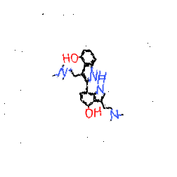 CN(C)CCc1c[nH]c2c(-c3[nH]c4cccc(O)c4c3CC[N+](C)(C)C)ccc(O)c12